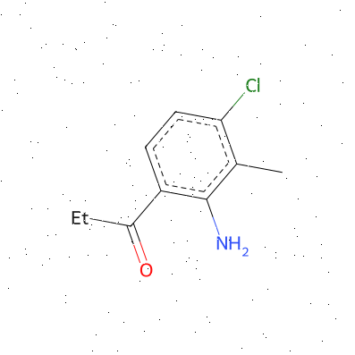 CCC(=O)c1ccc(Cl)c(C)c1N